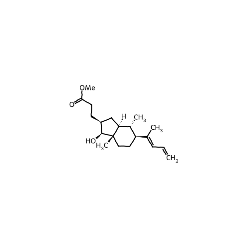 C=C/C=C(\C)[C@H]1CC[C@]2(C)[C@@H](O)[C@@H](CCC(=O)OC)C[C@H]2[C@@H]1C